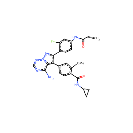 C=CC(=O)Nc1ccc(-c2nn3ncnc(N)c3c2-c2ccc(C(=O)NC3CC3)c(OC)c2)c(F)c1